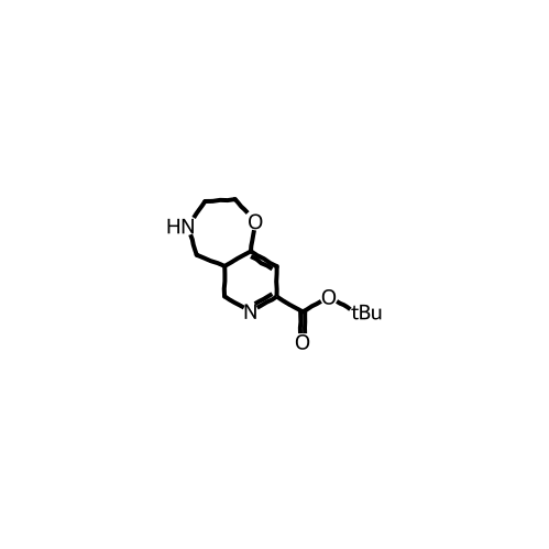 CC(C)(C)OC(=O)C1=NCC2CNCCOC2=C1